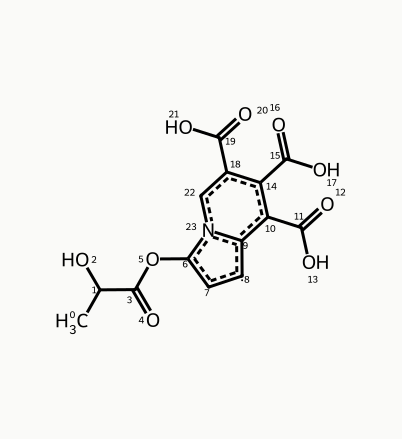 CC(O)C(=O)Oc1c[c]c2c(C(=O)O)c(C(=O)O)c(C(=O)O)cn12